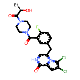 CC[C@@H](O)C(=O)N1CCN(C(=O)c2cc(Cc3c[nH]c(=O)c4cc(Cl)c(Cl)n34)ccc2F)CC1